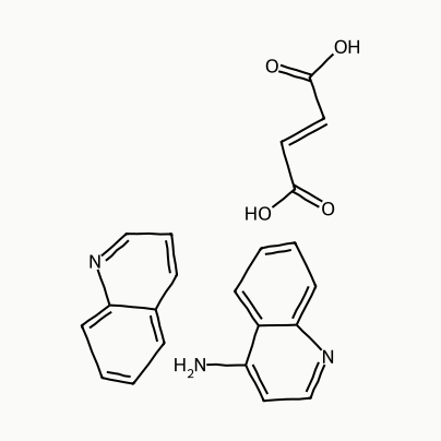 Nc1ccnc2ccccc12.O=C(O)/C=C/C(=O)O.c1ccc2ncccc2c1